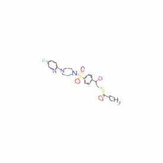 CC(=O)SCC(=O)c1ccc(S(=O)(=O)N2CCN(c3ccc(F)cn3)CC2)cc1